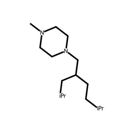 CC(C)CCC(CC(C)C)CN1CCN(C)CC1